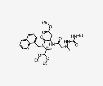 CCNC(=O)NN(C)CC(=O)NC(CC(=O)OC(C)(C)C)C(=O)N(Cc1cccc2cccnc12)[C@@H](C)C(OCC)OCC